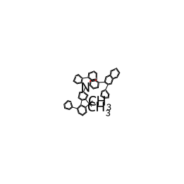 CC1(C)c2cc(N(c3ccc(-c4cc5ccccc5cc4-c4ccccc4)cc3)c3ccccc3-c3ccccc3)ccc2-c2c(-c3ccccc3)cccc21